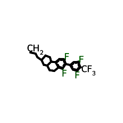 C=CCCC1CCC2c3cc(F)c(-c4cc(F)c(C(F)(F)F)c(F)c4)c(F)c3CCC2C1